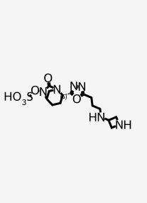 O=C1N(OS(=O)(=O)O)C2CC[C@@H](c3nnc(CCCNC4CNC4)o3)N1C2